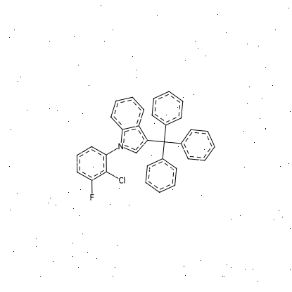 Fc1cccc(-n2cc(C(c3ccccc3)(c3ccccc3)c3ccccc3)c3ccccc32)c1Cl